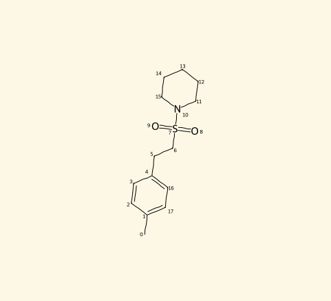 Cc1ccc(CCS(=O)(=O)N2CCCCC2)cc1